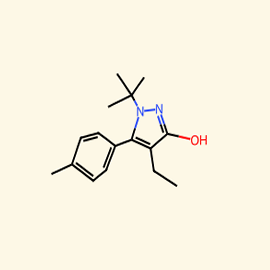 CCc1c(O)nn(C(C)(C)C)c1-c1ccc(C)cc1